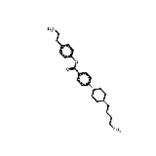 CCCCC[C@H]1CC[C@H](c2ccc(C(=O)Oc3ccc(CCC)cc3)cc2)CC1